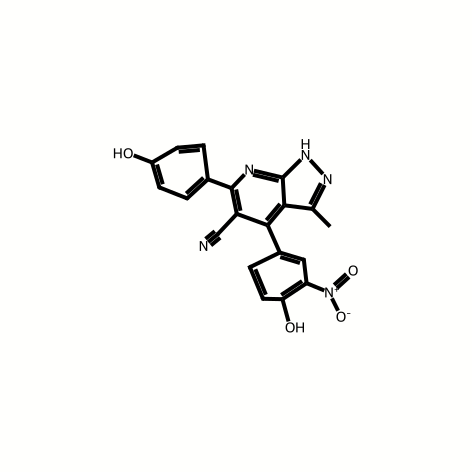 Cc1n[nH]c2nc(-c3ccc(O)cc3)c(C#N)c(-c3ccc(O)c([N+](=O)[O-])c3)c12